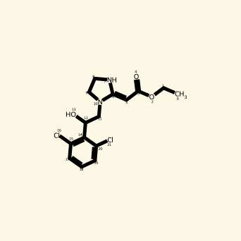 CCOC(=O)C=C1NCCN1CC(O)c1c(Cl)cccc1Cl